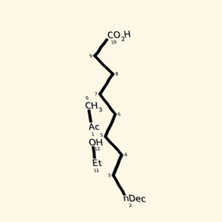 CC(C)=O.CCCCCCCCCCCCCCCCCC(=O)O.CCO